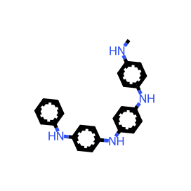 CNc1ccc(Nc2ccc(Nc3ccc(Nc4ccccc4)cc3)cc2)cc1